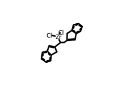 [Cl][Zr]([Cl])[CH](CC1=Cc2ccccc2C1)C1=Cc2ccccc2C1